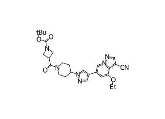 CCOc1cc(-c2cnn(C3CCN(C(=O)C4CN(C(=O)OC(C)(C)C)C4)CC3)c2)cn2ncc(C#N)c12